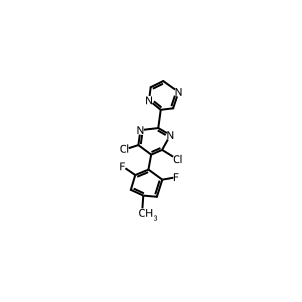 Cc1cc(F)c(-c2c(Cl)nc(-c3cnccn3)nc2Cl)c(F)c1